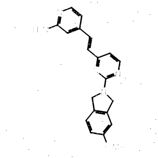 COc1ccc2c(c1)CN(c1nccc(/C=C/c3ccnc(N)c3)n1)C2